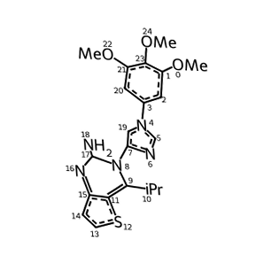 COc1cc(-n2cnc(N3C(C(C)C)=c4sccc4=NC3N)c2)cc(OC)c1OC